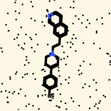 FC(F)(F)c1ccc(C2=CCN(CCc3ccc4ccncc4c3)CC2)cc1